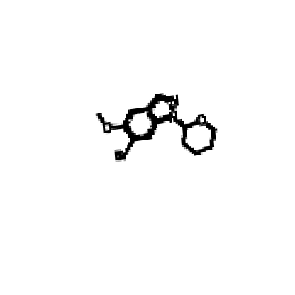 COc1cc2cnn(C3CCCCO3)c2cc1Br